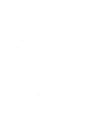 COC(=O)C(C)(C)Sc1ccncc1-c1ccc(C(N)=O)cc1